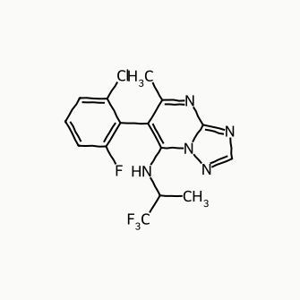 Cc1nc2ncnn2c(NC(C)C(F)(F)F)c1-c1c(F)cccc1Cl